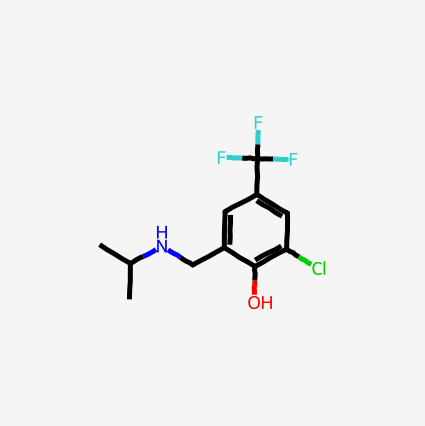 CC(C)NCc1cc(C(F)(F)F)cc(Cl)c1O